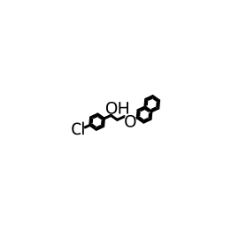 OC(CCOc1ccc2ccccc2c1)c1ccc(Cl)cc1